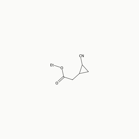 CCOC(=O)CC1CC1C#N